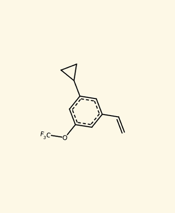 C=Cc1cc(OC(F)(F)F)cc(C2CC2)c1